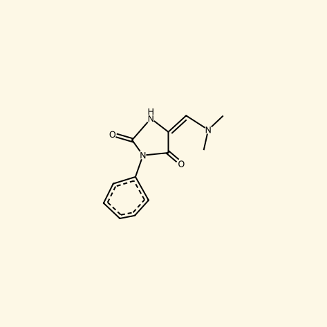 CN(C)C=C1NC(=O)N(c2ccccc2)C1=O